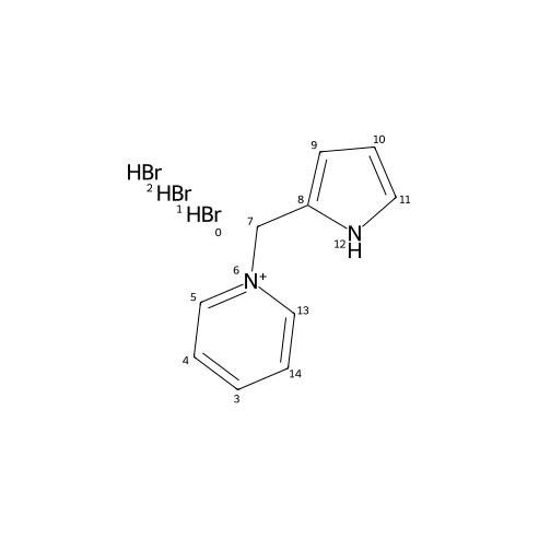 Br.Br.Br.c1cc[n+](Cc2ccc[nH]2)cc1